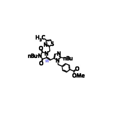 CCCCc1ncc(/C=C2/C(=O)N(CCCC)C(=O)N2Cc2nc(C)cs2)n1Cc1ccc(C(=O)OC)cc1